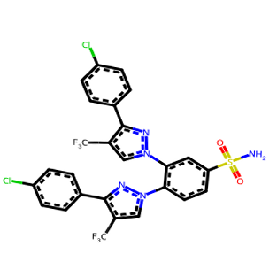 NS(=O)(=O)c1ccc(-n2cc(C(F)(F)F)c(-c3ccc(Cl)cc3)n2)c(-n2cc(C(F)(F)F)c(-c3ccc(Cl)cc3)n2)c1